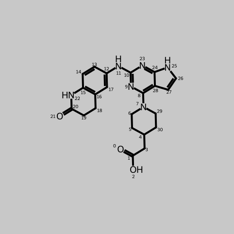 O=C(O)CC1CCN(c2nc(Nc3ccc4c(c3)CCC(=O)N4)nc3[nH]ccc23)CC1